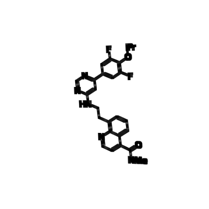 CNC(=O)c1ccnc2c(CCNc3cc(-c4cc(F)c(OC(C)C)c(F)c4)ncn3)cccc12